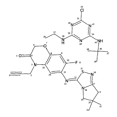 C#CCN1C(=O)COc2cc(F)c(/N=c3\snc4n3CC(C)(C)C4)cc21.CCNc1nc(Cl)nc(NC(C)(C)C)n1